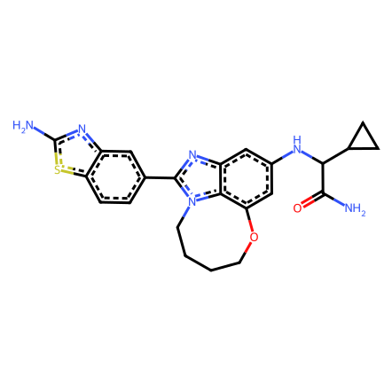 NC(=O)C(Nc1cc2c3c(c1)nc(-c1ccc4sc(N)nc4c1)n3CCCCO2)C1CC1